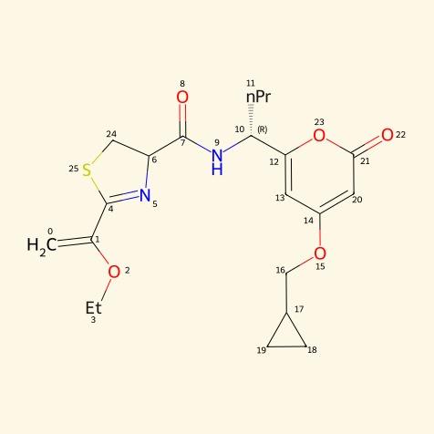 C=C(OCC)C1=NC(C(=O)N[C@H](CCC)c2cc(OCC3CC3)cc(=O)o2)CS1